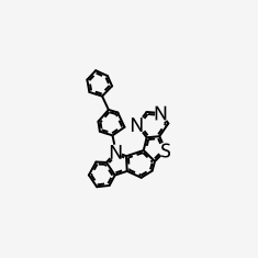 c1ccc(-c2ccc(-n3c4ccccc4c4ccc5sc6cncnc6c5c43)cc2)cc1